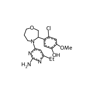 CCc1cc(N2CCCOCC2c2cc(O)c(OC)cc2Cl)nc(N)n1